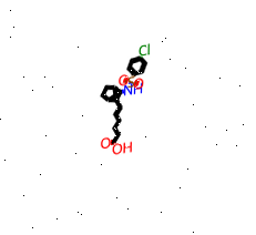 O=C(O)CCCC=CC1C2CCC(C2)C1NS(=O)(=O)c1ccc(Cl)cc1